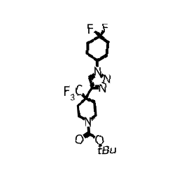 CC(C)(C)OC(=O)N1CCC(c2cn(C3CCC(F)(F)CC3)nn2)(C(F)(F)F)CC1